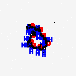 Cn1cc(NC(=O)c2nccn2C)cc1C(=O)NCCC(=O)Nc1c[nH]c(C(=O)NCc2c[nH]c(CC(=O)NCCC(=O)Nc3c[nH]c(CC(=O)NCCC(=O)NCCN)n3)c2)n1